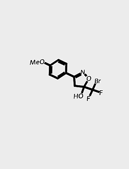 COc1ccc(C2=NOC(O)(C(F)(F)Br)C2)cc1